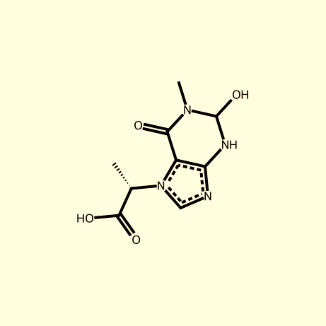 C[C@@H](C(=O)O)n1cnc2c1C(=O)N(C)C(O)N2